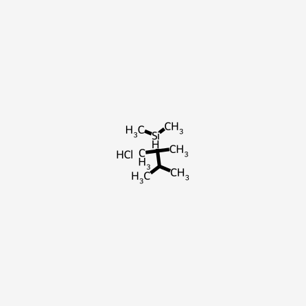 CC(C)C(C)(C)[SiH](C)C.Cl